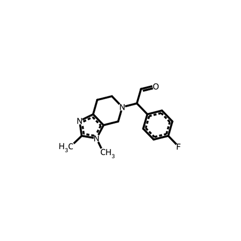 Cc1nc2c(n1C)CN(C(C=O)c1ccc(F)cc1)CC2